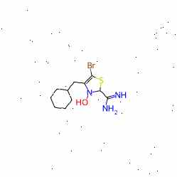 N=C(N)C1SC(Br)=C(CC2CCCCC2)N1O